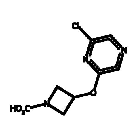 O=C(O)N1CC(Oc2cncc(Cl)n2)C1